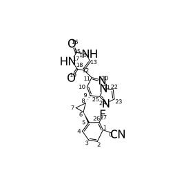 N#Cc1cccc([C@H]2C[C@@H]2c2cc(-c3c[nH]c(=O)[nH]c3=O)nn3ccnc23)c1F